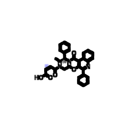 CC[C@H](NC(=O)c1c(OCCNC(=O)/C=C\C(=O)O)c(-c2ccccc2)nc2ccccc12)c1ccccc1